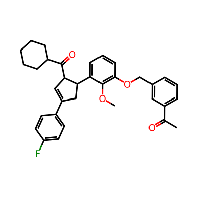 COc1c(OCc2cccc(C(C)=O)c2)cccc1C1CC(c2ccc(F)cc2)=CC1C(=O)C1CCCCC1